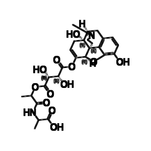 CC(NC(=O)C(C)OC(=O)[C@H](O)[C@@H](O)C(=O)OC1=CC[C@@]2(O)[C@H]3Cc4ccc(O)c5c4[C@@]2(CCN3C)[C@H]1O5)C(=O)O